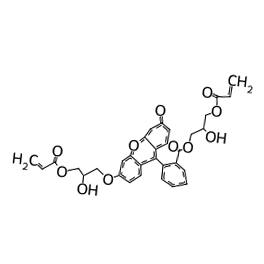 C=CC(=O)OCC(O)COC(=O)c1ccccc1-c1c2ccc(=O)cc-2oc2cc(OCC(O)COC(=O)C=C)ccc12